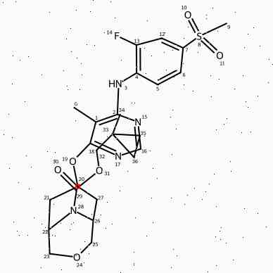 Cc1c(Nc2ccc(S(C)(=O)=O)cc2F)ncnc1OC1CC2COCC(C1)N2C(=O)OCC1(C)CC1